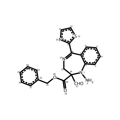 NN1c2ccccc2C(c2nccs2)=NCC1(C=O)C(=O)OCc1ccccc1